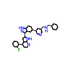 Fc1ccccc1-c1ccnc2[nH]c(-c3n[nH]c4ccc(-c5cncc(CNCc6ccccc6)c5)cc34)cc12